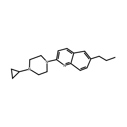 CCCc1ccc2nc(N3CCN(C4CC4)CC3)ccc2c1